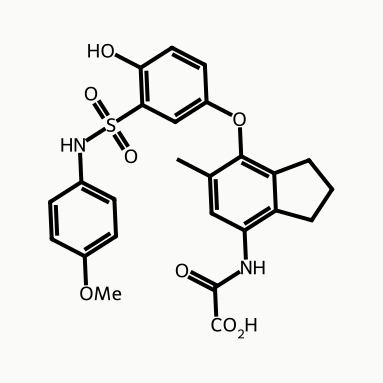 COc1ccc(NS(=O)(=O)c2cc(Oc3c(C)cc(NC(=O)C(=O)O)c4c3CCC4)ccc2O)cc1